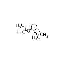 CC=C(C)Oc1cccc2c1OC(C)(C)C2